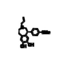 C=CCN1CCc2cc(O)c(O)cc2C(c2ccc(SC)cc2)C1